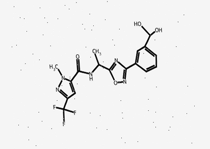 CC(NC(=O)c1cc(C(F)(F)F)nn1C)c1nc(-c2cccc(C(O)O)c2)no1